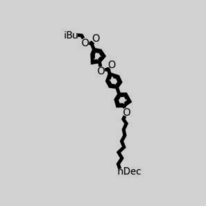 CCCCCCCCCCCCCCCCCCCOc1ccc(-c2ccc(C(=O)Oc3ccc(C(=O)OCC(C)CC)cc3)cc2)cc1